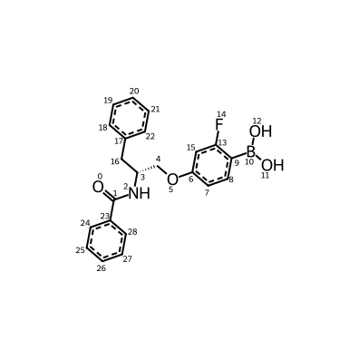 O=C(N[C@@H](COc1ccc(B(O)O)c(F)c1)Cc1ccccc1)c1ccccc1